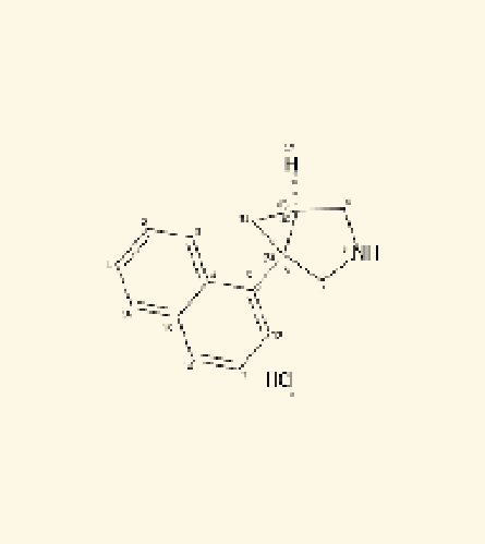 Cl.c1ccc2c([C@@]34CNC[C@@H]3C4)cccc2c1